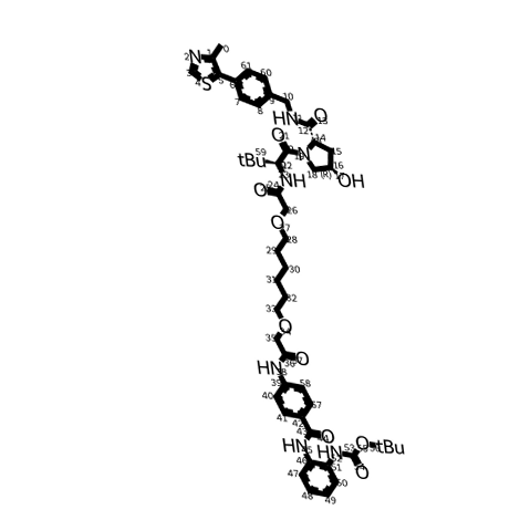 Cc1ncsc1-c1ccc(CNC(=O)[C@@H]2C[C@@H](O)CN2C(=O)[C@@H](NC(=O)COCCCCCCOCC(=O)Nc2ccc(C(=O)Nc3ccccc3NC(=O)OC(C)(C)C)cc2)C(C)(C)C)cc1